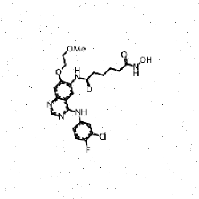 COCCOc1cc2ncnc(Nc3ccc(F)c(Cl)c3)c2cc1NC(=O)CCCCC(=O)NO